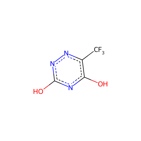 Oc1nnc(C(F)(F)F)c(O)n1